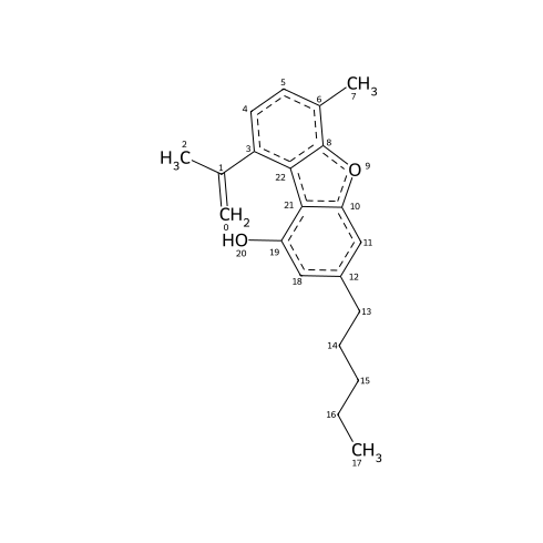 C=C(C)c1ccc(C)c2oc3cc(CCCCC)cc(O)c3c12